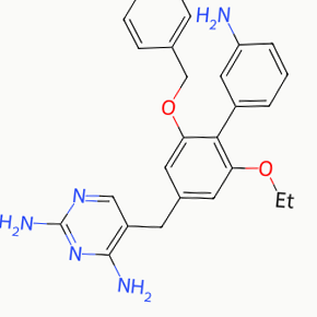 CCOc1cc(Cc2cnc(N)nc2N)cc(OCc2ccccc2)c1-c1cccc(N)c1